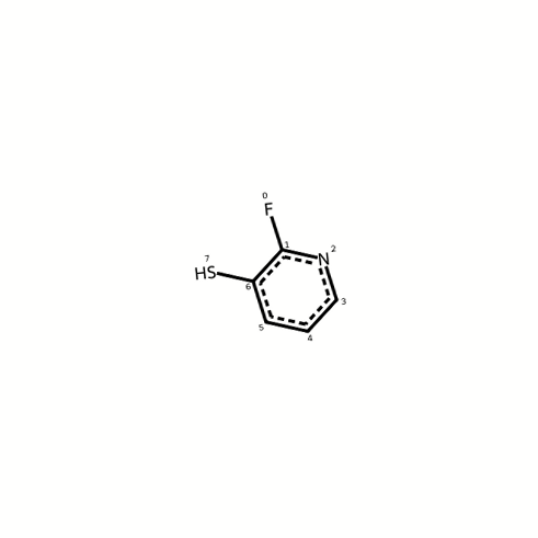 Fc1ncccc1S